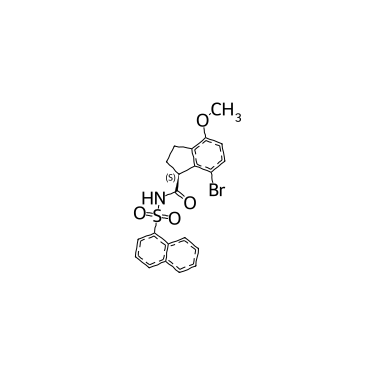 COc1ccc(Br)c2c1CC[C@@H]2C(=O)NS(=O)(=O)c1cccc2ccccc12